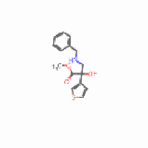 COC(=O)C(O)(CNCc1ccccc1)c1ccsc1